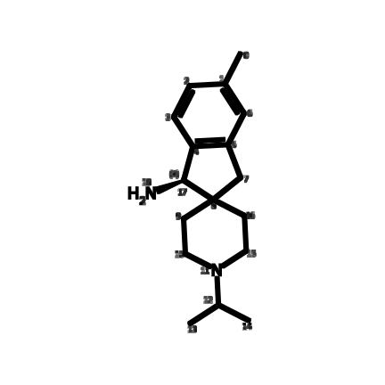 Cc1ccc2c(c1)CC1(CCN(C(C)C)CC1)[C@H]2N